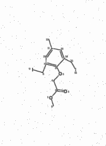 COC(=O)COc1c(CI)cc(C)cc1CI